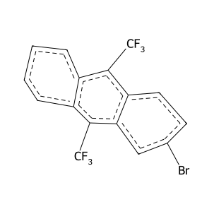 FC(F)(F)c1c2ccccc2c(C(F)(F)F)c2cc(Br)ccc12